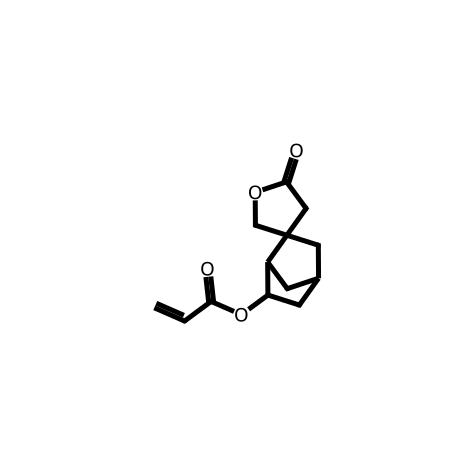 C=CC(=O)OC1CC2CC1C1(COC(=O)C1)C2